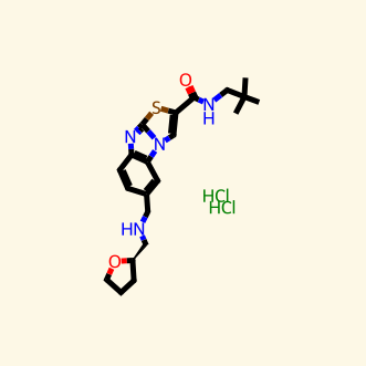 CC(C)(C)CNC(=O)c1cn2c(nc3ccc(CNC[C@H]4CCCO4)cc32)s1.Cl.Cl